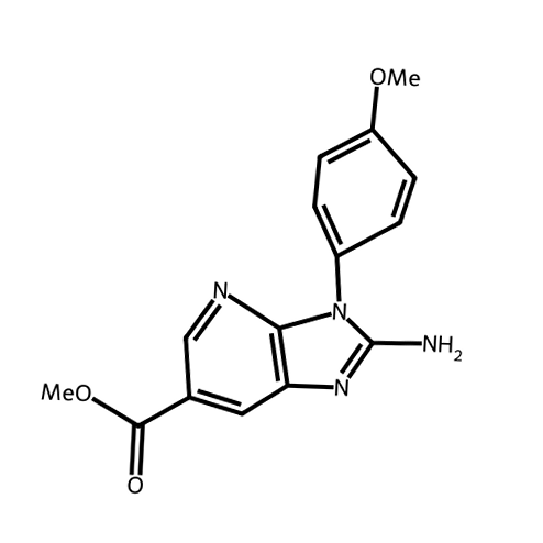 COC(=O)c1cnc2c(c1)nc(N)n2-c1ccc(OC)cc1